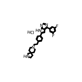 Cl.Fc1cc(F)cc(-c2ncnc3[nH]c(-c4ccc(CCN5CCC6(CCNC6)CC5)cc4)cc23)c1